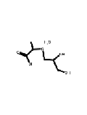 CC(OCC(O)CO)C(=O)O.O